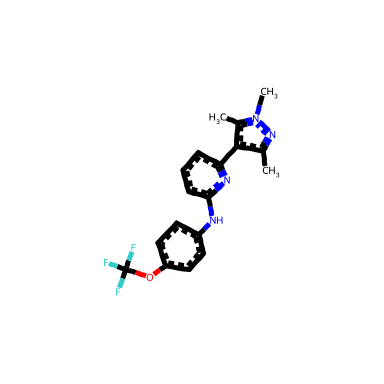 Cc1nn(C)c(C)c1-c1cccc(Nc2ccc(OC(F)(F)F)cc2)n1